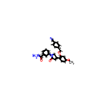 COc1ccc(C2CC(=O)N(c3cccc(C(N)=O)c3)C2)c(OCc2ccc(C#N)cc2)c1